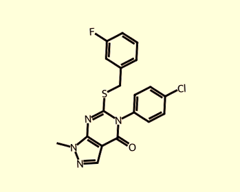 Cn1ncc2c(=O)n(-c3ccc(Cl)cc3)c(SCc3cccc(F)c3)nc21